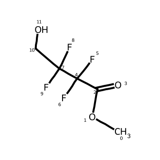 COC(=O)C(F)(F)C(F)(F)CO